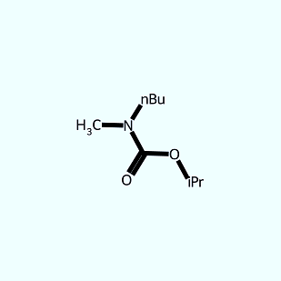 CCCCN(C)C(=O)OC(C)C